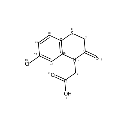 O=C(O)CN1C(=S)CSc2ccc(Cl)cc21